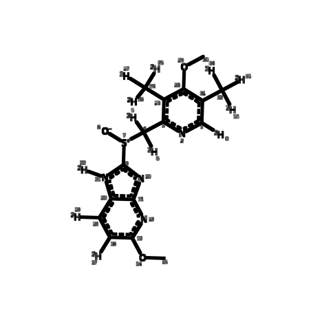 [2H]c1nc(C([2H])([2H])[S+]([O-])c2nc3nc(OC)c([2H])c([2H])c3n2[2H])c(C([2H])([2H])[2H])c(OC)c1C([2H])([2H])[2H]